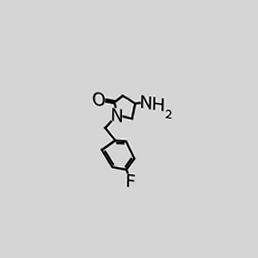 NC1CC(=O)N(Cc2ccc(F)cc2)C1